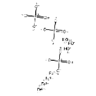 O=P([O-])([O-])[O-].O=P([O-])([O-])[O-].O=P([O-])([O-])[O-].[Fe+3].[Fe+3].[Fe+3].[Fe+3].[OH-].[OH-].[OH-]